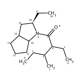 CCC(C)C(CC)C(=O)N1C2CCCC2C[C@H]1CC